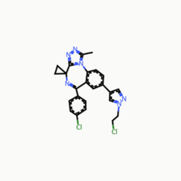 Cc1nnc2n1-c1ccc(-c3cnn(CCCl)c3)cc1C(c1ccc(Cl)cc1)=NC21CC1